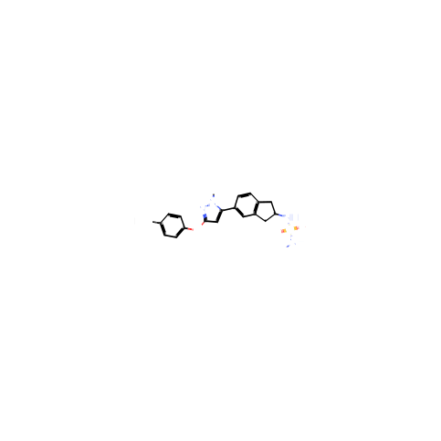 CCNS(=O)(=O)NC1Cc2ccc(-c3cc(Oc4ccc(C(F)(F)F)cc4)nn3CC)cc2C1